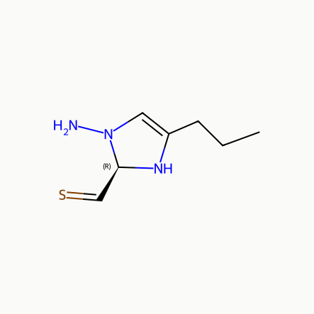 CCCC1=CN(N)[C@H](C=S)N1